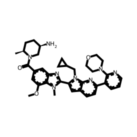 COc1cc(C(=O)N2C[C@H](N)CC[C@@H]2C)cc2nc(-c3cc4ccc(-c5cccnc5N5CCOCC5)nc4n3CC3CC3)n(C)c12